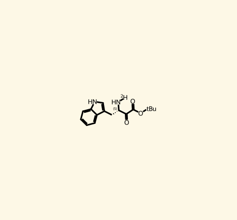 [2H]N[C@@H](Cc1c[nH]c2ccccc12)C(=O)C(=O)OC(C)(C)C